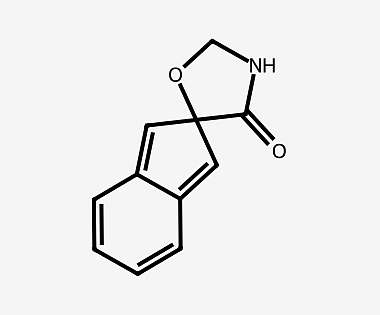 O=C1NCOC12C=c1ccccc1=C2